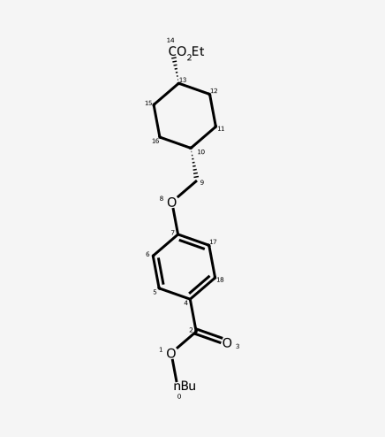 CCCCOC(=O)c1ccc(OC[C@H]2CC[C@@H](C(=O)OCC)CC2)cc1